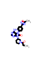 C=CC(=O)N1CCCC(n2c(=O)n(-c3ccc(-c4noc(C)n4)cc3)c3c(N)ncnc32)C1